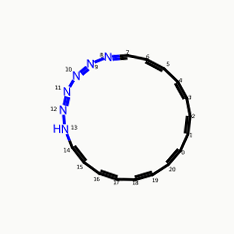 c1cccccccnnnnn[nH]ccccccc1